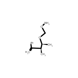 C=C(C(C)C)[C@H](C)[C@H](C)OCON